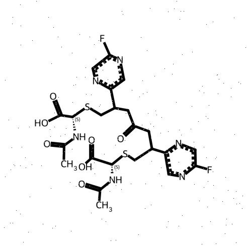 CC(=O)N[C@@H](SCC(CC(=O)CC(CS[C@H](NC(C)=O)C(=O)O)c1cnc(F)cn1)c1cnc(F)cn1)C(=O)O